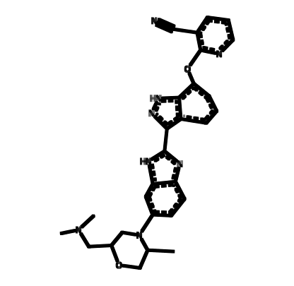 CC1COC(CN(C)C)CN1c1ccc2nc(-c3n[nH]c4c(Oc5ncccc5C#N)cccc34)[nH]c2c1